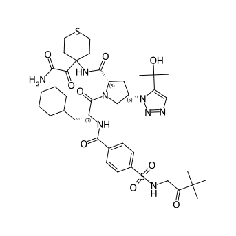 CC(C)(C)C(=O)CNS(=O)(=O)c1ccc(C(=O)N[C@H](CC2CCCCC2)C(=O)N2C[C@@H](n3nncc3C(C)(C)O)C[C@H]2C(=O)NC2(C(=O)C(N)=O)CCSCC2)cc1